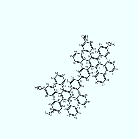 Oc1ccc(-c2c(-c3ccccc3)c(-c3ccccc3)c(-c3ccc(-c4ccc(-c5c(-c6ccccc6)c(-c6ccccc6)c(-c6ccc(O)cc6)c(-c6ccc(O)cc6)c5-c5ccccc5)cc4)cc3)c(-c3ccccc3)c2-c2ccc(O)cc2)cc1